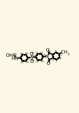 Cc1ccc2c(c1)C(=O)N(c1ccc(S(=O)(=O)c3ccc(NC=O)cc3)cc1)C2=O